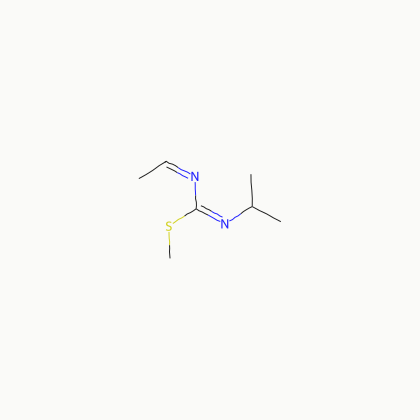 C/C=N\C(=N/C(C)C)SC